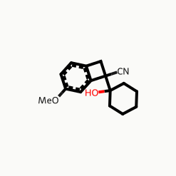 COc1ccc2c(c1)C(C#N)(C1(O)CCCCC1)C2